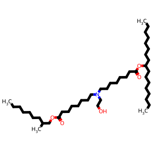 CCCCCCCCC(CCCCCCCC)OC(=O)CCCCCCCN(CCO)CCCCCCCC(=O)OCC(C)CCCCCCC